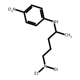 CCN(CC)CCCC(C)Nc1ccc([N+](=O)[O-])cc1